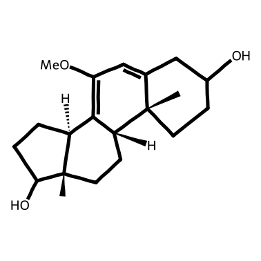 COC1=C2[C@@H](CC[C@]3(C)C(O)CC[C@@H]23)[C@@]2(C)CCC(O)CC2=C1